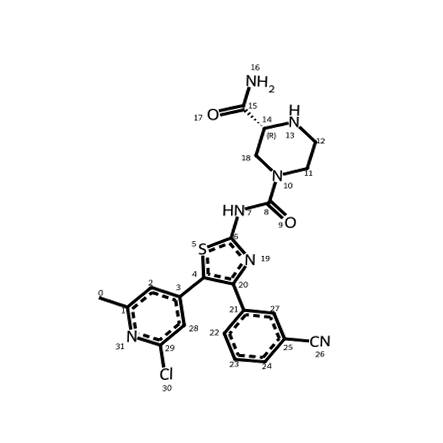 Cc1cc(-c2sc(NC(=O)N3CCN[C@@H](C(N)=O)C3)nc2-c2cccc(C#N)c2)cc(Cl)n1